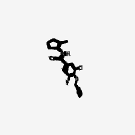 C#CCOc1c(F)cc(C(=O)NC2CCCC2C)cc1Cl